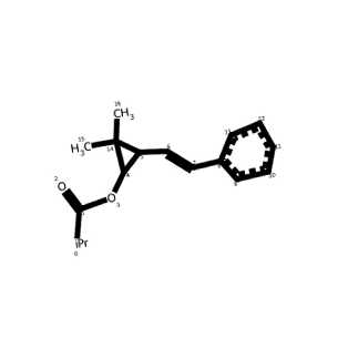 CC(C)C(=O)OC1C(C=Cc2ccccc2)C1(C)C